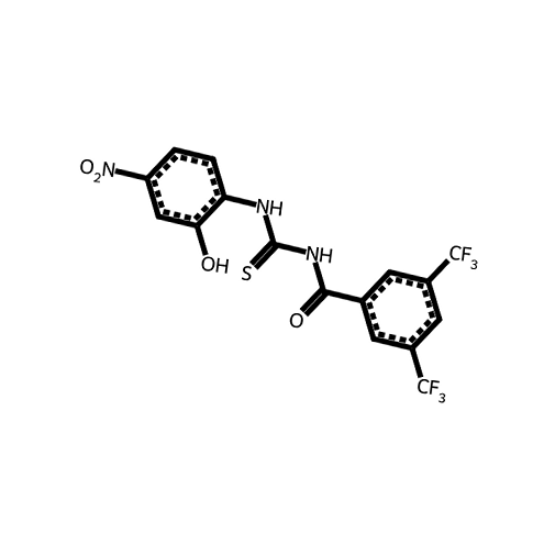 O=C(NC(=S)Nc1ccc([N+](=O)[O-])cc1O)c1cc(C(F)(F)F)cc(C(F)(F)F)c1